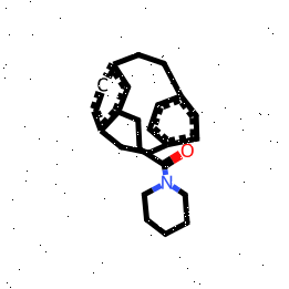 O=C(CCc1cc2ccc1CCc1ccc(cc1)CC2)N1CCCCC1